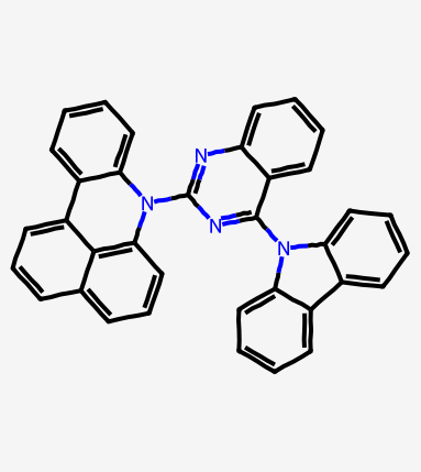 c1ccc2c(c1)-c1cccc3cccc(c13)N2c1nc(-n2c3ccccc3c3ccccc32)c2ccccc2n1